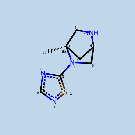 c1nsc(N2CC3C[C@@H]2CN3)n1